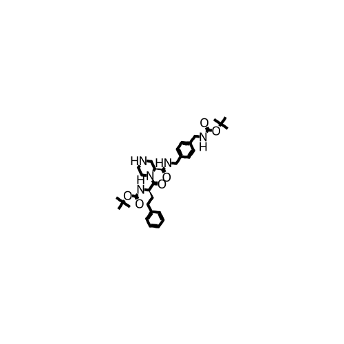 CC(C)(C)OC(=O)NCc1ccc(CNC(=O)[C@@H]2CNCCN2C(=O)[C@@H](CCc2ccccc2)NC(=O)OC(C)(C)C)cc1